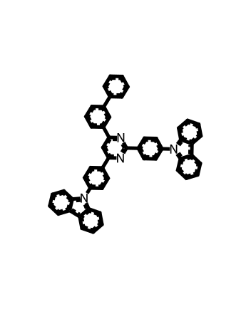 c1ccc(-c2cccc(-c3cc(-c4ccc(-n5c6ccccc6c6ccccc65)cc4)nc(-c4ccc(-n5c6ccccc6c6ccccc65)cc4)n3)c2)cc1